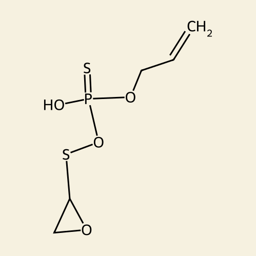 C=CCOP(O)(=S)OSC1CO1